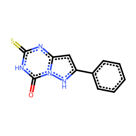 O=c1[nH]c(=S)nc2cc(-c3ccccc3)[nH]n12